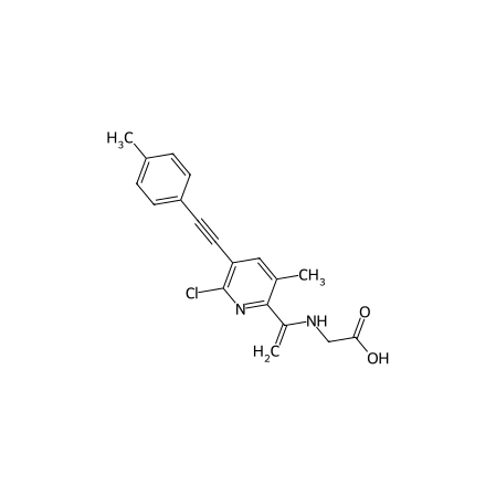 C=C(NCC(=O)O)c1nc(Cl)c(C#Cc2ccc(C)cc2)cc1C